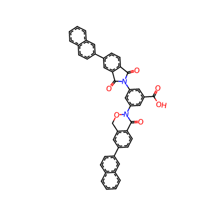 O=C(O)c1cc(N2OCc3cc(-c4ccc5ccccc5c4)ccc3C2=O)cc(N2C(=O)c3ccc(-c4ccc5ccccc5c4)cc3C2=O)c1